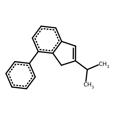 CC(C)C1=Cc2cccc(-c3ccccc3)c2C1